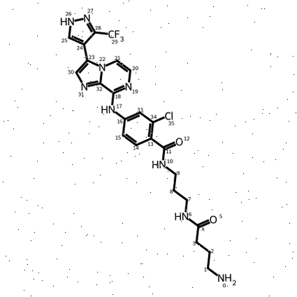 NCCCC(=O)NCCCNC(=O)c1ccc(Nc2nccn3c(-c4c[nH]nc4C(F)(F)F)cnc23)cc1Cl